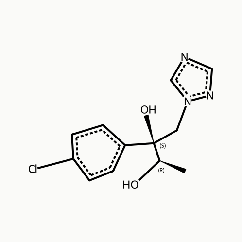 C[C@@H](O)[C@@](O)(Cn1cncn1)c1ccc(Cl)cc1